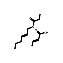 C/C=C/C(=O)O.CCC/C=C/COC(=O)CC